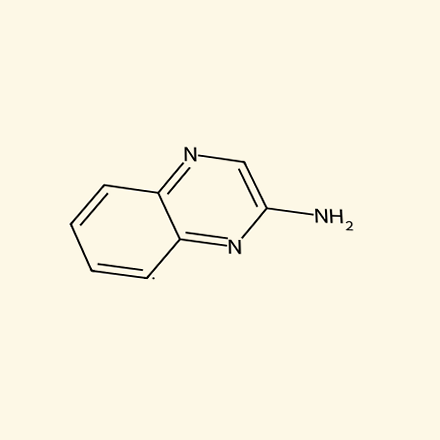 Nc1cnc2ccc[c]c2n1